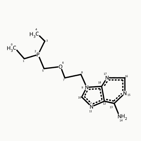 CCP(CC)COCCn1cnc2c(N)ncnc21